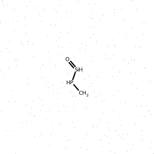 CP[SiH]=O